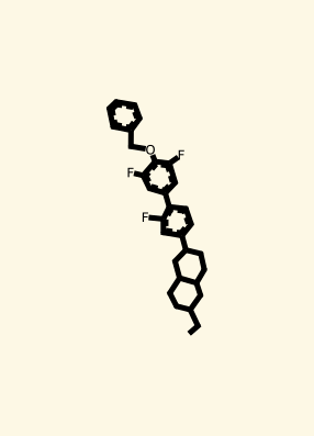 CCC1CCC2CC(c3ccc(-c4cc(F)c(OCc5ccccc5)c(F)c4)c(F)c3)CCC2C1